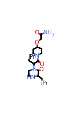 CC(C)CC1NCCN(C(CC(C)C)C(=O)N2CCC(OCC(N)=O)CC2)C1=O